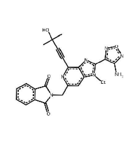 CCn1c(-c2nonc2N)nc2c(C#CC(C)(C)O)nc(CN3C(=O)c4ccccc4C3=O)cc21